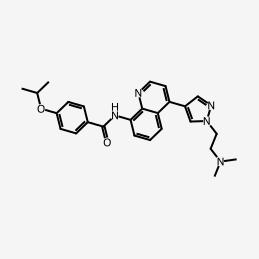 CC(C)Oc1ccc(C(=O)Nc2cccc3c(-c4cnn(CCN(C)C)c4)ccnc23)cc1